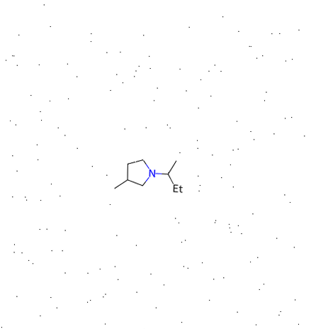 CCC(C)N1CCC(C)C1